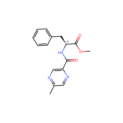 COC(=O)[C@H](Cc1ccccc1)NC(=O)c1cnc(C)cn1